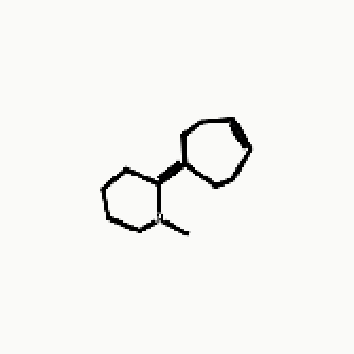 CN1CCCCC1=C1CCC=CCC1